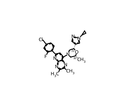 Cc1nc2nc(-c3ccc(Cl)cc3F)cc(N3C[C@@H](C)O[C@@H](c4cnn(C5CC5)c4)C3)c2nc1C